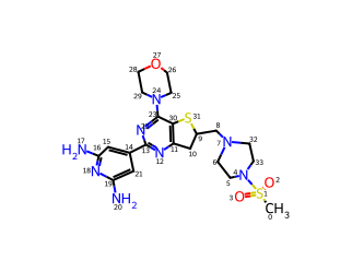 CS(=O)(=O)N1CCN(CC2Cc3nc(-c4cc(N)nc(N)c4)nc(N4CCOCC4)c3S2)CC1